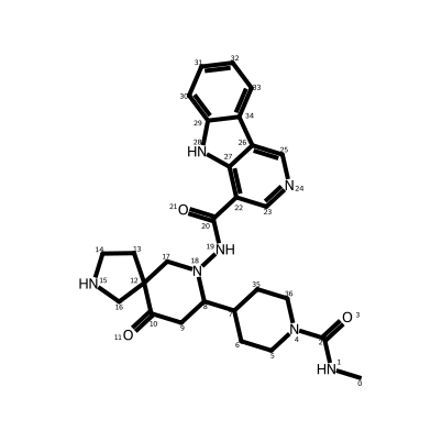 CNC(=O)N1CCC(C2CC(=O)C3(CCNC3)CN2NC(=O)c2cncc3c2[nH]c2ccccc23)CC1